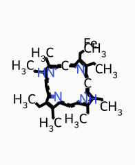 CCC1=C(CC)c2cc3[nH]c(cc4nc(cc5[nH]c(cc1n2)c(CC)c5CC)C(CC)=C4CC)c(CC)c3CC.[Fe]